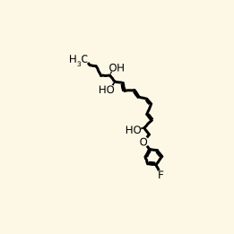 CCCC[C@H](O)[C@H](O)/C=C/C=C/C=C\C=C\[C@H](O)COc1ccc(F)cc1